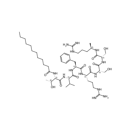 CCCCCCCCCCCC(=O)N[C@H](C(=O)N[C@H](C(=O)N[C@@H](Cc1ccccc1)C(=O)N[C@@H](CCCNC(=N)N)C(=O)N[C@@H](CO)C(=O)N[C@@H](CO)C(=O)N[C@H](C)CCCNC(=N)N)C(C)C)[C@@H](C)O